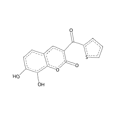 O=C(c1cccs1)c1cc2ccc(O)c(O)c2oc1=O